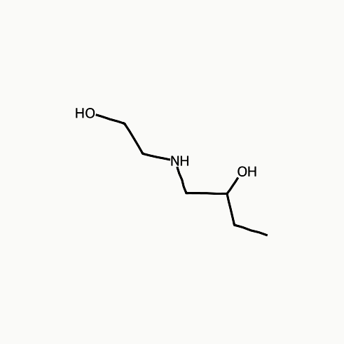 CCC(O)CNCCO